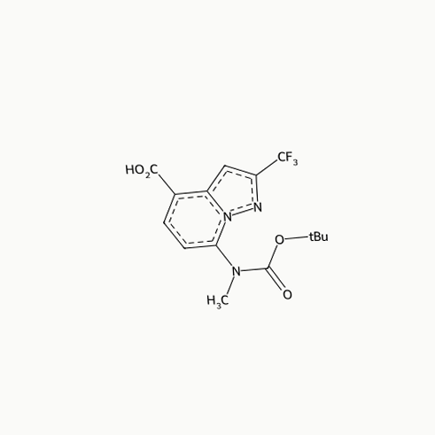 CN(C(=O)OC(C)(C)C)c1ccc(C(=O)O)c2cc(C(F)(F)F)nn12